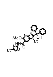 CCc1coc(NC(=O)c2cc3c(nc2OC)nc(C(O)(c2ccccc2)c2ccccc2)n3CC)n1